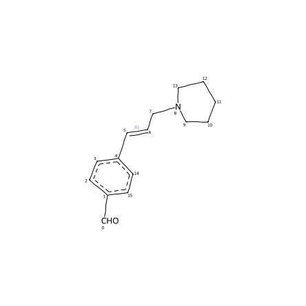 O=Cc1ccc(/C=C/CN2CCCCC2)cc1